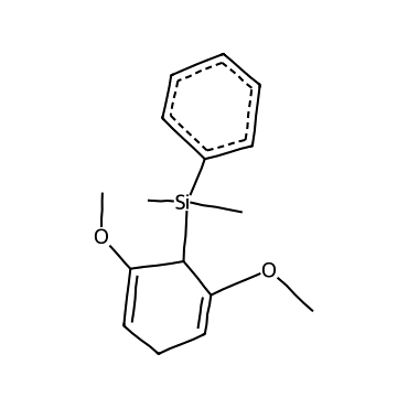 COC1=CCC=C(OC)C1[Si](C)(C)c1ccccc1